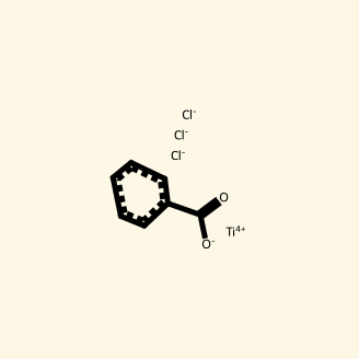 O=C([O-])c1ccccc1.[Cl-].[Cl-].[Cl-].[Ti+4]